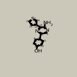 Nc1ncc(-c2ccc(O)cc2)nc1-c1ccsc1